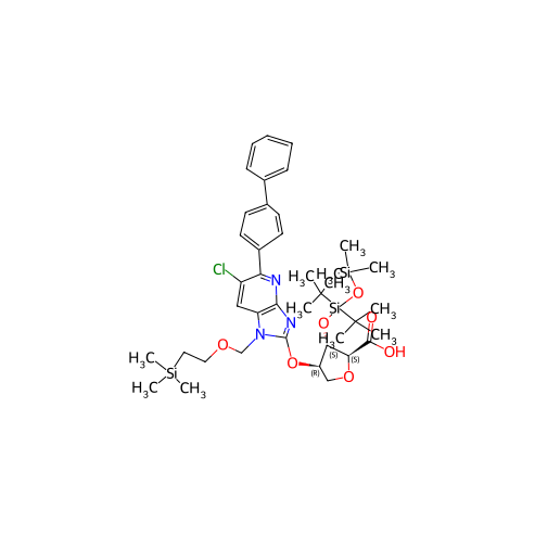 CC(C)(C)[Si](O[C@@H]1[C@@H](C(=O)O)OC[C@H]1Oc1nc2nc(-c3ccc(-c4ccccc4)cc3)c(Cl)cc2n1COCC[Si](C)(C)C)(O[Si](C)(C)C)C(C)(C)C